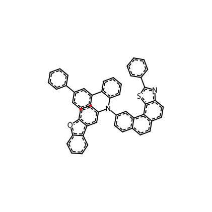 c1ccc(-c2cccc(-c3ccccc3N(c3ccc4oc5ccccc5c4c3)c3ccc4ccc5ccc6nc(-c7ccccc7)sc6c5c4c3)c2)cc1